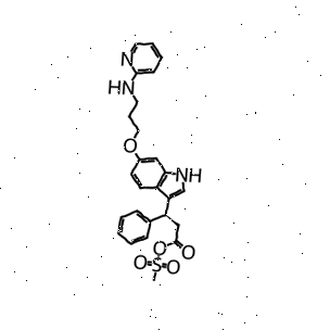 CS(=O)(=O)OC(=O)C[C@@H](c1ccccc1)c1c[nH]c2cc(OCCCNc3ccccn3)ccc12